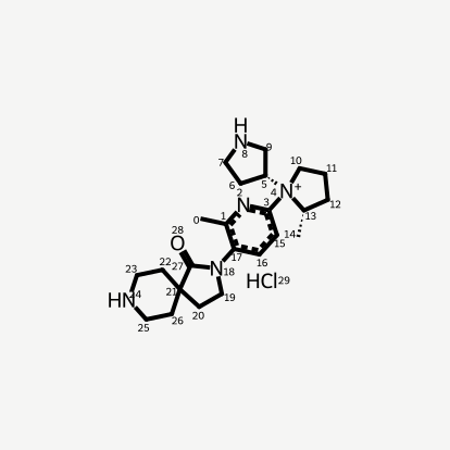 Cc1nc([N+]2([C@@H]3CCNC3)CCC[C@@H]2C)ccc1N1CCC2(CCNCC2)C1=O.Cl